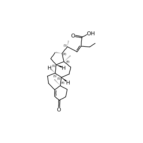 CCC(=C[C@@H](C)[C@H]1CC[C@H]2[C@@H]3CCC4=CC(=O)CC[C@]4(C)[C@H]3CC[C@]12C)C(=O)O